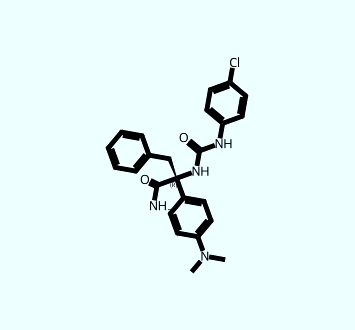 CN(C)c1ccc([C@@](Cc2ccccc2)(NC(=O)Nc2ccc(Cl)cc2)C(N)=O)cc1